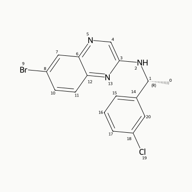 C[C@@H](Nc1cnc2cc(Br)ccc2n1)c1cccc(Cl)c1